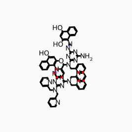 Nc1nc(/N=N/c2c(O)cc(O)c3ccccc23)nc(N(Cc2ccccn2)C(Oc2cc(O)c3ccccc3c2/N=N/c2nc(N(Cc3ccccn3)Cc3ccccn3)nc(N(Cc3ccccn3)Cc3ccccn3)n2)c2ccccn2)n1